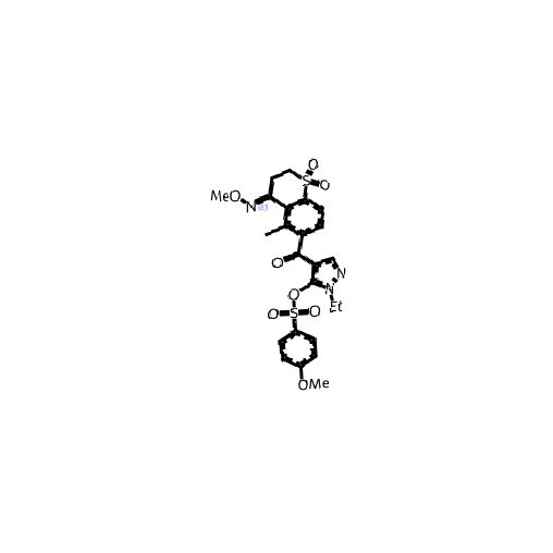 CCn1ncc(C(=O)c2ccc3c(c2C)/C(=N/OC)CCS3(=O)=O)c1OS(=O)(=O)c1ccc(OC)cc1